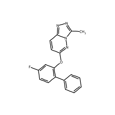 Cc1nnc2ccc(Oc3cc(F)ccc3-c3ccccc3)nn12